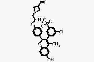 CC1=C(c2cc(Cl)cc(S(C)(=O)=O)c2)[C@H](c2ccc(OCCN3CC(CF)C3)cc2)Oc2ccc(O)cc21